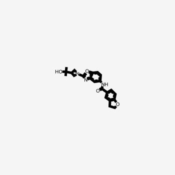 CC(C)(O)C1CN(c2nc3cc(NC(=O)c4ccc5c(c4)CCO5)ccc3o2)C1